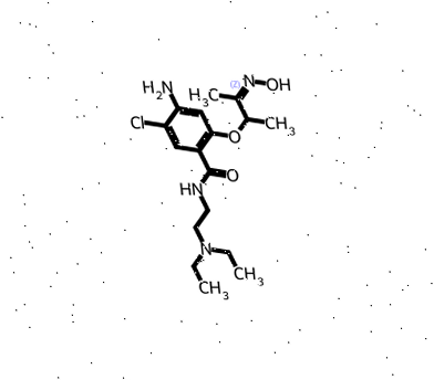 CCN(CC)CCNC(=O)c1cc(Cl)c(N)cc1OC(C)/C(C)=N\O